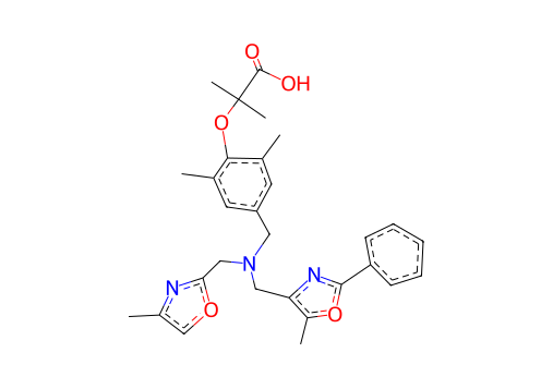 Cc1coc(CN(Cc2cc(C)c(OC(C)(C)C(=O)O)c(C)c2)Cc2nc(-c3ccccc3)oc2C)n1